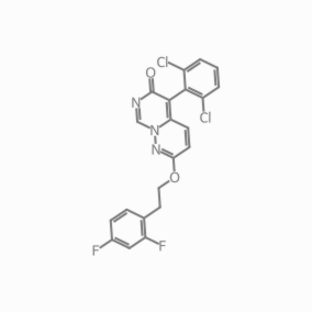 O=c1ncn2nc(OCCc3ccc(F)cc3F)ccc2c1-c1c(Cl)cccc1Cl